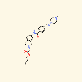 CCCCOC(=O)CN1CCc2ccc(NC(=O)c3ccc(C=NN4CCN(C)CC4)cc3)cc2C1